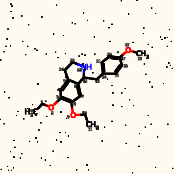 CCOc1cc2c(cc1OCC)C(Cc1ccc(OC)cc1)NCC2